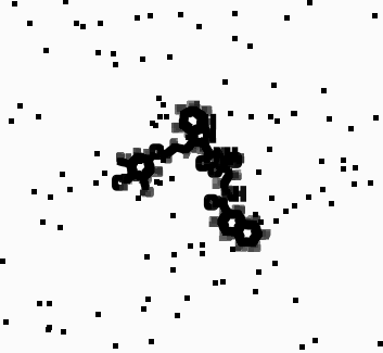 Cc1cc(OCCCc2c(C(=O)NS(=O)(=O)CCNC(=O)c3ccc4ccccc4c3)[nH]c3ccccc23)cc(C)c1Cl